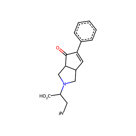 CC(C)CC(C(=O)O)N1CC2C=C(c3ccccc3)C(=O)C2C1